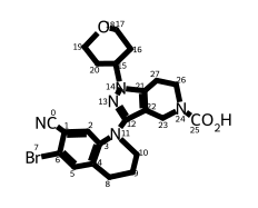 N#Cc1cc2c(cc1Br)CCCN2c1nn(C2CCOCC2)c2c1CN(C(=O)O)CC2